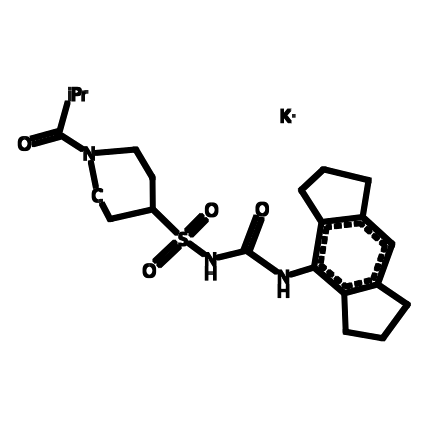 CC(C)C(=O)N1CCC(S(=O)(=O)NC(=O)Nc2c3c(cc4c2CCC4)CCC3)CC1.[K]